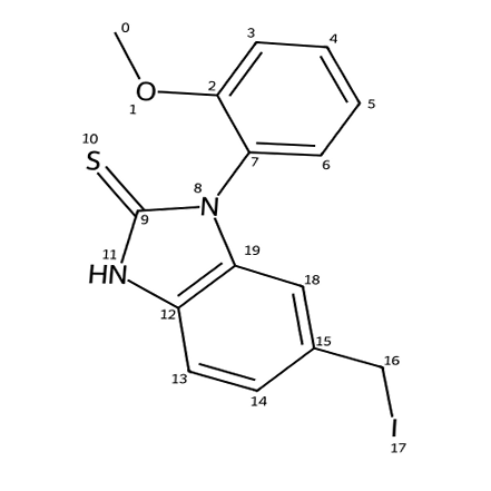 COc1ccccc1-n1c(=S)[nH]c2ccc(CI)cc21